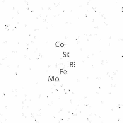 [B].[Co].[Fe].[Mo].[Si]